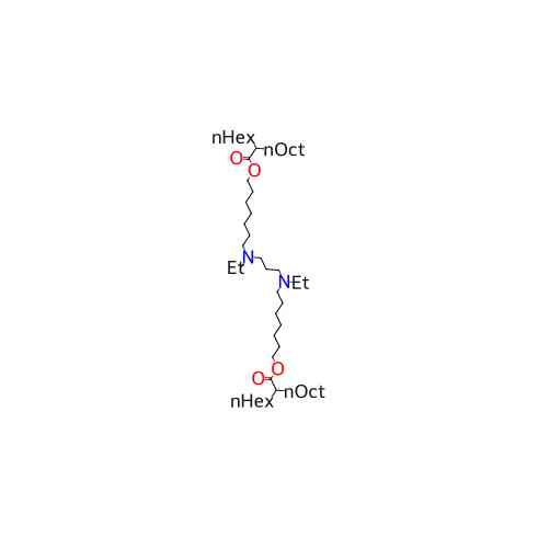 CCCCCCCCC(CCCCCC)C(=O)OCCCCCCCN(CC)CCCN(CC)CCCCCCCOC(=O)C(CCCCCC)CCCCCCCC